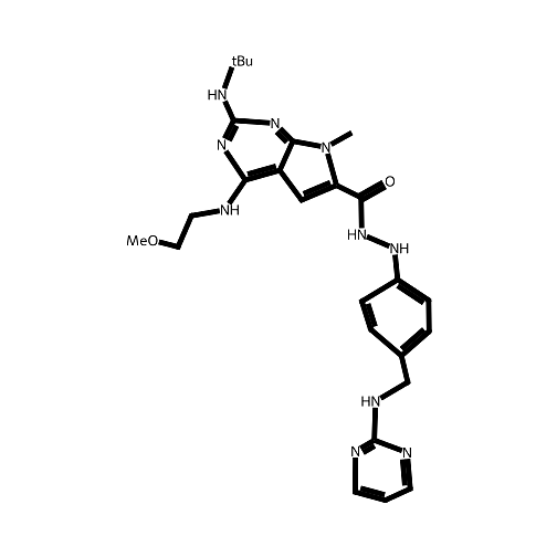 COCCNc1nc(NC(C)(C)C)nc2c1cc(C(=O)NNc1ccc(CNc3ncccn3)cc1)n2C